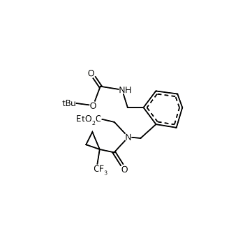 CCOC(=O)CN(Cc1ccccc1CNC(=O)OC(C)(C)C)C(=O)C1(C(F)(F)F)CC1